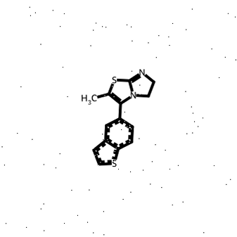 CC1=C(c2ccc3sccc3c2)N2CCN=C2S1